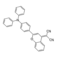 N#CC(C#N)=C1C=C(c2ccc(N(c3ccccc3)c3ccccc3)cc2)Oc2ccccc21